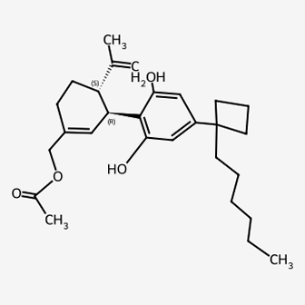 C=C(C)[C@H]1CCC(COC(C)=O)=C[C@@H]1c1c(O)cc(C2(CCCCCC)CCC2)cc1O